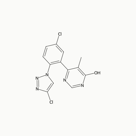 Cc1c(O)ncnc1-c1cc(Cl)ccc1-n1cc(Cl)nn1